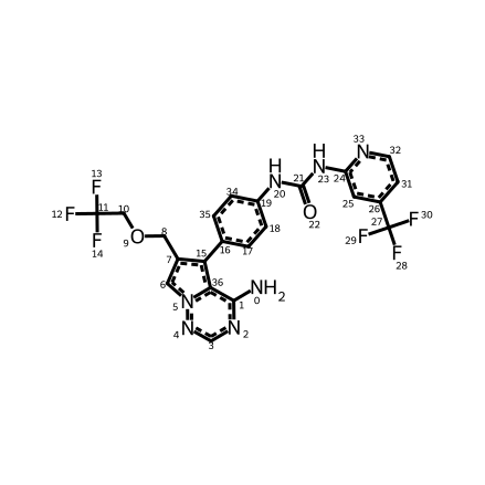 Nc1ncnn2cc(COCC(F)(F)F)c(-c3ccc(NC(=O)Nc4cc(C(F)(F)F)ccn4)cc3)c12